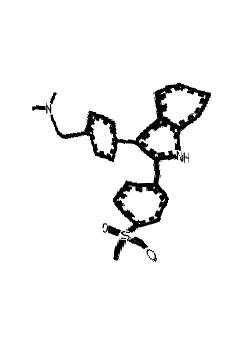 CN(C)Cc1ccc(-c2c(-c3ccc(S(C)(=O)=O)cc3)[nH]c3ccccc23)cc1